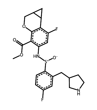 COC(=O)c1c(N[S+]([O-])c2ccc(F)cc2CC2CCNC2)cc(F)c2c1OCC1CC21